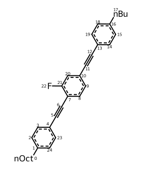 CCCCCCCCc1ccc(C#Cc2ccc(C#Cc3ccc(CCCC)cc3)cc2F)cc1